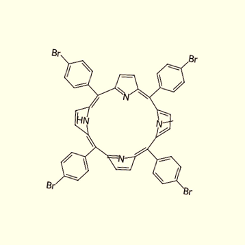 Cn1c2ccc1c(-c1ccc(Br)cc1)c1nc(c(-c3ccc(Br)cc3)c3ccc([nH]3)c(-c3ccc(Br)cc3)c3nc(c2-c2ccc(Br)cc2)C=C3)C=C1